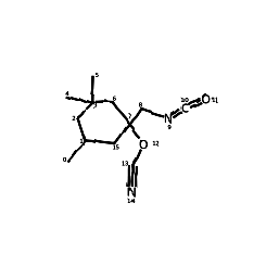 CC1CC(C)(C)CC(CN=C=O)(OC#N)C1